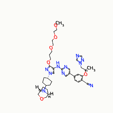 COCCOCCOCCCOc1nn([C@H]2CC[C@H](N3[C@@H]4CC[C@H]3COC4)CC2)cc1Nc1ncc(-c2ccc(C#N)c(O[C@@H](C)Cn3cncn3)c2)cn1